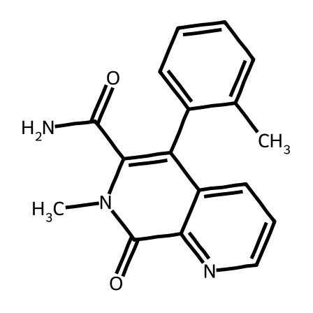 Cc1ccccc1-c1c(C(N)=O)n(C)c(=O)c2ncccc12